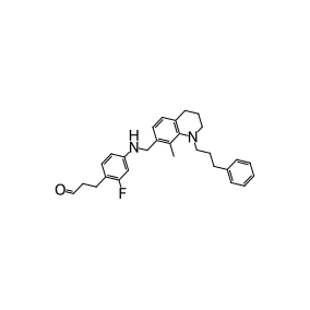 Cc1c(CNc2ccc(CCC=O)c(F)c2)ccc2c1N(CCCc1ccccc1)CCC2